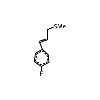 CSC/C=C/c1ccc(F)cc1